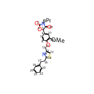 CCCN1C(=O)OC(c2ccc(OCc3csc(CCc4ccccc4)n3)c(OC)c2)C1=O